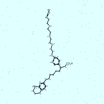 [N-]=[N+]=NCCOCCOCCOCCOc1ccc(C(CCCCCCc2ccc3c(n2)NCCC3)CC(=O)O)cn1